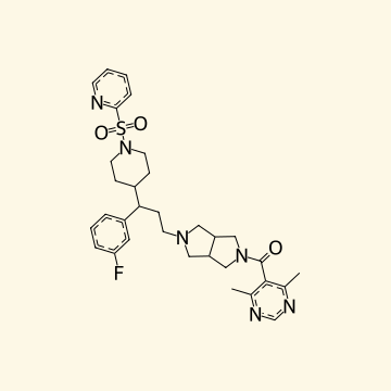 Cc1ncnc(C)c1C(=O)N1CC2CN(CCC(c3cccc(F)c3)C3CCN(S(=O)(=O)c4ccccn4)CC3)CC2C1